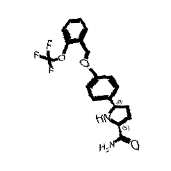 NC(=O)[C@@H]1CC[C@H](c2ccc(OCc3ccccc3OC(F)(F)F)cc2)N1